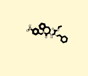 CCOC(=O)[C@H](CCC1CCCCC1)N[C@@H]1CCc2ccccc2N(Cc2ccc([N+](=O)[O-])cc2)C1=O